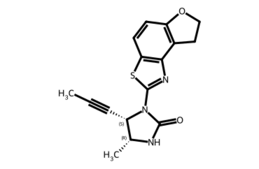 CC#C[C@H]1[C@@H](C)NC(=O)N1c1nc2c3c(ccc2s1)OCC3